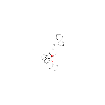 Cc1nc2ccccc2n1C1C[C@H]2CC[C@@H](C1)N2CCC1(c2ccccc2)CCN(C(=O)c2cccc3ccccc23)CC1